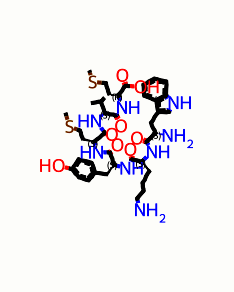 CSCC[C@H](NC(=O)[C@H](Cc1ccc(O)cc1)NC(=O)[C@H](CCCCN)NC(=O)[C@@H](N)Cc1c[nH]c2ccccc12)C(=O)N[C@H](C(=O)N[C@H](CCSC)C(=O)O)C(C)C